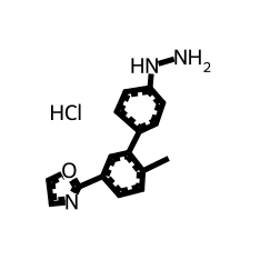 Cc1ccc(-c2ncco2)cc1-c1ccc(NN)cc1.Cl